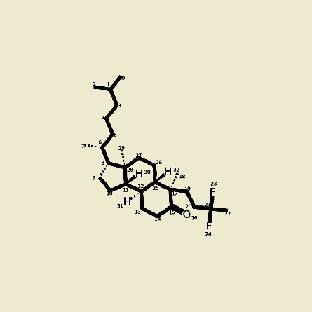 CC(C)CCC[C@@H](C)[C@H]1CC[C@H]2[C@@H]3CCC(=O)[C@](C)(CCC(C)(F)F)[C@H]3CC[C@]12C